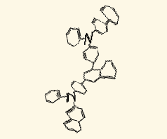 c1ccc(-c2ccc(N(c3ccccc3)c3ccc(-c4cc(-c5ccc(N(c6ccccc6)c6ccc7ccccc7c6)cc5)cc5ccccc45)cc3)cc2)cc1